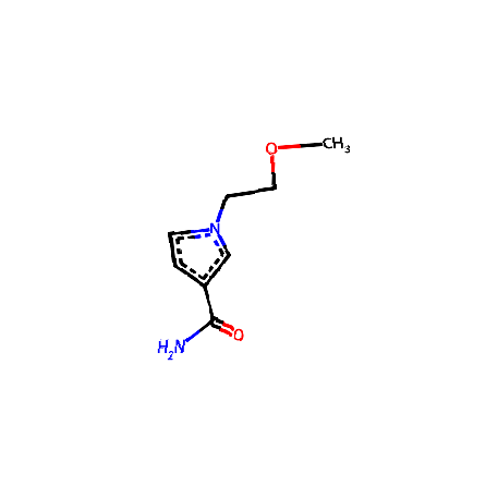 COCCn1ccc(C(N)=O)c1